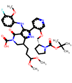 COc1c(F)cccc1Nc1c(-c2ccncc2OC[C@H]2CCCN2C(=O)OC(C)(C)C)[nH]c2c1C(=O)N(C(=O)O)CC2CCC(OC)OC